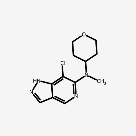 CN(c1ncc2cn[nH]c2c1Cl)C1CCOCC1